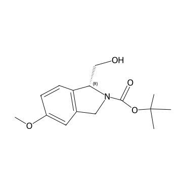 COc1ccc2c(c1)CN(C(=O)OC(C)(C)C)[C@H]2CO